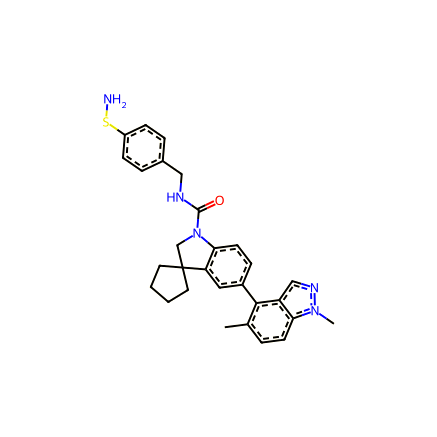 Cc1ccc2c(cnn2C)c1-c1ccc2c(c1)C1(CCCC1)CN2C(=O)NCc1ccc(SN)cc1